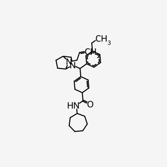 C=CCN1C2CCC1N(C(C1=CCC(C(=O)NC3CCCCCC3)C=C1)c1cccc(CC)c1)C2